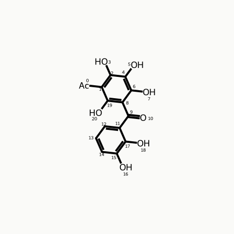 CC(=O)c1c(O)c(O)c(O)c(C(=O)c2cccc(O)c2O)c1O